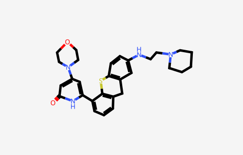 O=c1cc(N2CCOCC2)cc(-c2cccc3c2Sc2ccc(NCCN4CCCCC4)cc2C3)[nH]1